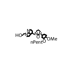 CCCCCOc1cc(N2CCCN(Cc3ccnc4c3ccn4CCO)C2=O)ccc1OC